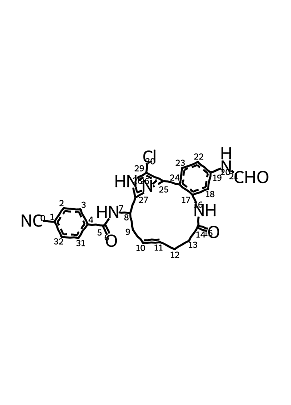 N#Cc1ccc(C(=O)NC2C/C=C/CCC(=O)Nc3cc(NC=O)ccc3-c3nc2[nH]c3Cl)cc1